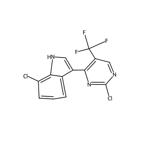 FC(F)(F)c1cnc(Cl)nc1-c1c[nH]c2c(Cl)cccc12